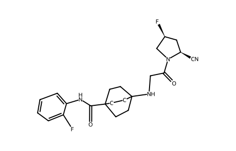 N#C[C@@H]1C[C@H](F)CN1C(=O)CNC12CCC(C(=O)Nc3ccccc3F)(CC1)CC2